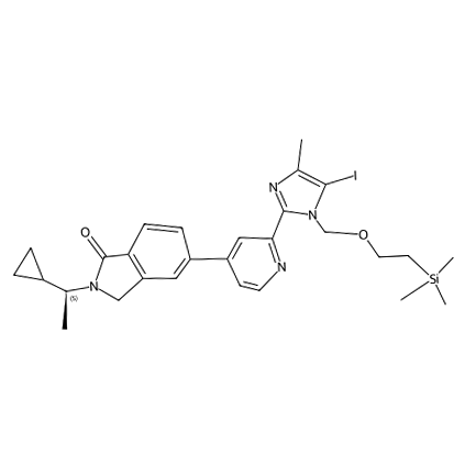 Cc1nc(-c2cc(-c3ccc4c(c3)CN([C@@H](C)C3CC3)C4=O)ccn2)n(COCC[Si](C)(C)C)c1I